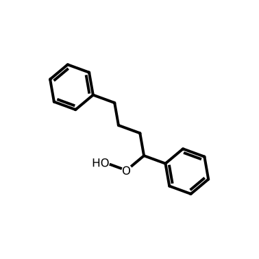 OOC(CCCc1ccccc1)c1ccccc1